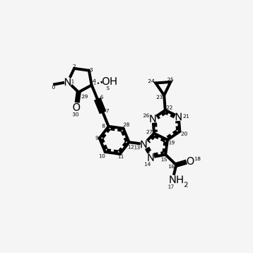 CN1CC[C@@](O)(C#Cc2cccc(-n3nc(C(N)=O)c4cnc(C5CC5)nc43)c2)C1=O